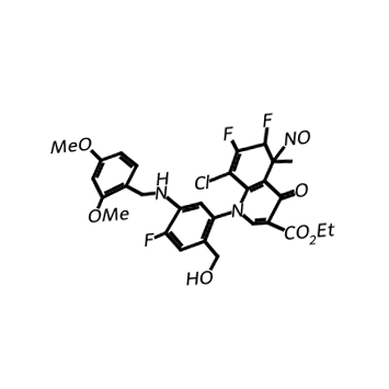 CCOC(=O)c1cn(-c2cc(NCc3ccc(OC)cc3OC)c(F)cc2CO)c2c(c1=O)C(C)(N=O)C(F)C(F)=C2Cl